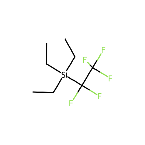 CC[Si](CC)(CC)C(F)(F)C(F)(F)F